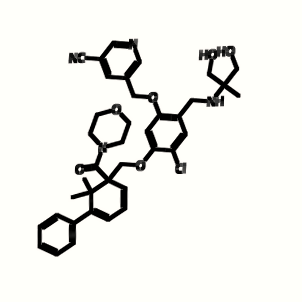 CC(CO)(CO)NCc1cc(Cl)c(OCC2(C(=O)N3CCOCC3)C=CC=C(c3ccccc3)C2(C)C)cc1OCc1cncc(C#N)c1